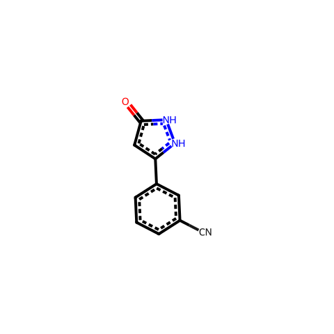 N#Cc1cccc(-c2cc(=O)[nH][nH]2)c1